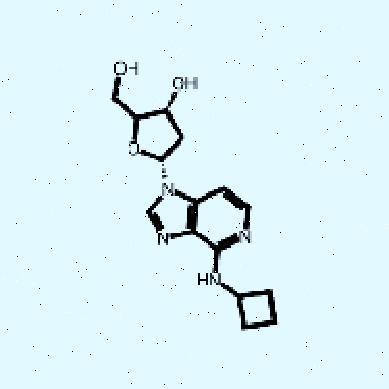 OCC1O[C@@H](n2cnc3c(NC4CCC4)nccc32)C[C@@H]1O